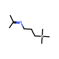 CC(C)=NCCC[Si](C)(C)C